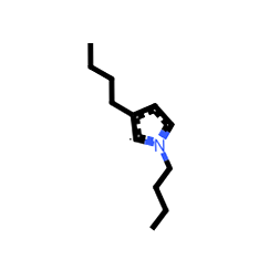 CCCCc1[c]n(CCCC)cc1